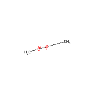 CCCCCCCCCCCCCCCCOC(=O)CCCCC(=O)OCCCCCCCC